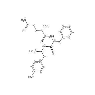 NC(=O)CC[C@H](N)C(=O)N[C@@H](Cc1ccccc1)C(=O)N[C@@H](Cc1ccc(O)cc1)C(=O)O